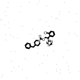 O=C(OCC(c1ccccc1Cl)n1ncnn1)N1CCC(Cc2ccccc2)CC1